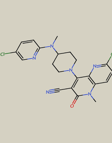 CN(c1ccc(Cl)cn1)C1CCN(c2c(C#N)c(=O)n(C)c3ccc(Cl)nc23)CC1